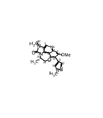 COc1cc2ncc3c4c2c(c1-c1cnn(C)c1)OC[C@H](C)n4c(=O)n3C